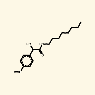 CCCCCCCCNC(=O)C(O)c1ccc(OC)cc1